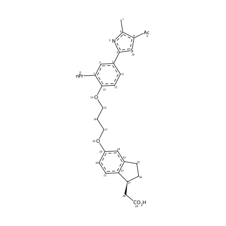 CCCc1cc(-c2nc(C)c(C(C)=O)s2)ccc1OCCCOc1ccc2c(c1)CC[C@H]2CC(=O)O